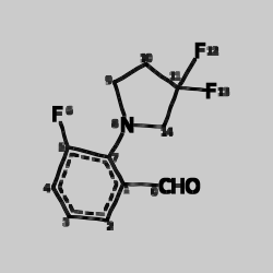 O=Cc1cccc(F)c1N1CCC(F)(F)C1